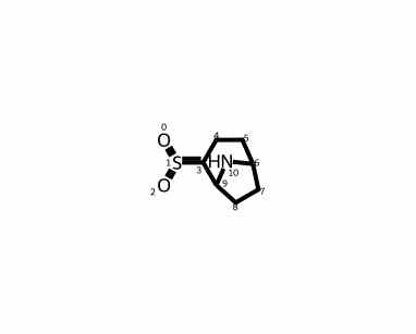 O=S(=O)=C1CCC2CCC1N2